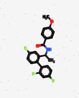 COc1ccc(C(=O)NC(C)c2cc(F)ccc2-c2ccc(F)cc2F)cc1